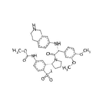 COC(=O)Nc1ccc(S(=O)(=O)I)c([C@H]2CCCN2C(=O)[C@H](Nc2ccc3c(c2)CNCC3)c2ccc(OC)c(OC)c2)c1